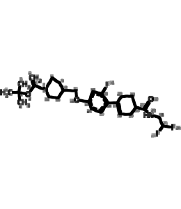 C=C(OC(C)(C)C)N1CCC(COc2ccc(C3=CCC(C(=O)NCC(F)F)CC3)c(F)c2)CC1